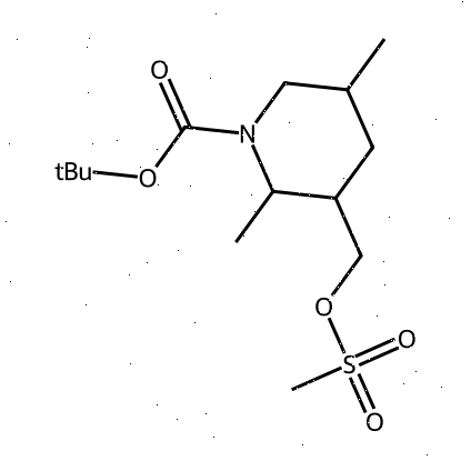 CC1CC(COS(C)(=O)=O)C(C)N(C(=O)OC(C)(C)C)C1